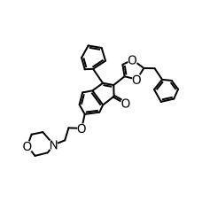 O=C1C(C2=COC(Cc3ccccc3)O2)=C(c2ccccc2)c2ccc(OCCN3CCOCC3)cc21